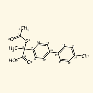 CC(=O)SC(C)(C(=O)O)c1ccc(-c2ccc(Cl)cc2)cc1